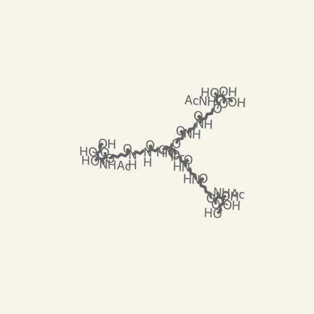 CC(=O)NC1C(O)[C@@H](O)C(CO)O[C@H]1OCCCCC(=O)NCCCNC(=O)CCOCC(COCCC(=O)NCCCNC(=O)CCCCO[C@@H]1OC(CO)[C@H](O)C(O)C1NC(C)=O)(COCCC(=O)NCCCNC(=O)CCCCO[C@@H]1O[C@H](CO)[C@H](O)C(O)C1NC(C)=O)NC(C)C